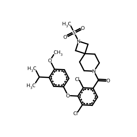 COc1ccc(Oc2c(Cl)ccc(C(=O)N3CCC4(CC3)CN(S(C)(=O)=O)C4)c2Cl)cc1C(C)C